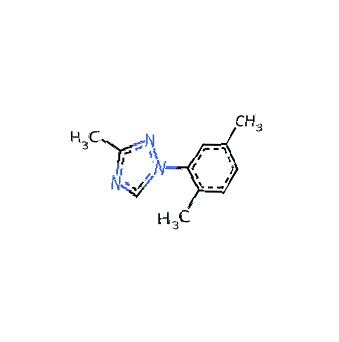 Cc1ccc(C)c(-n2cnc(C)n2)c1